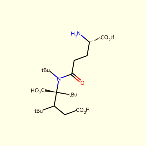 CC(C)(C)C(CC(=O)O)[C@](C(=O)O)(N(C(=O)CC[C@H](N)C(=O)O)C(C)(C)C)C(C)(C)C